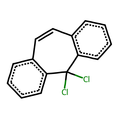 ClC1(Cl)c2ccccc2C=Cc2ccccc21